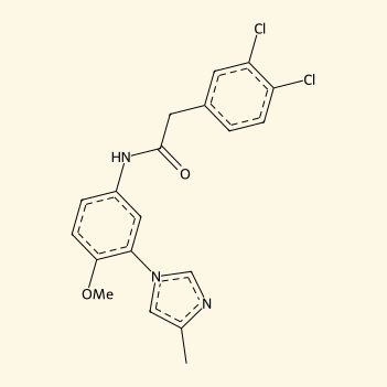 COc1ccc(NC(=O)Cc2ccc(Cl)c(Cl)c2)cc1-n1cnc(C)c1